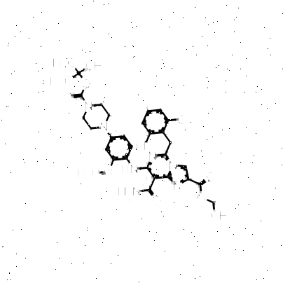 CCOC(=O)c1cn2c(Cc3c(Cl)cccc3Cl)nc(Nc3ccc(N4CCN(C(=O)OC(C)(C)C)CC4)cc3OC)c(C(N)=O)c2n1